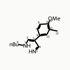 CCCCN/C=C(\C=N)c1ccc(OC)c(C)c1